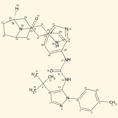 Cc1ccc(-n2ncc(C(C)(C)C)c2NC(=O)Nc2ccc(CC3CC4CC[C@@H](C3)N4C(=O)Cc3cnc[nH]3)cc2)cc1